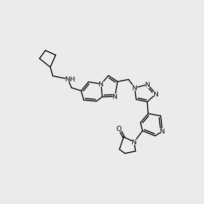 O=C1CCCN1c1cncc(-c2cn(Cc3cn4cc(CNCC5CCC5)ccc4n3)nn2)c1